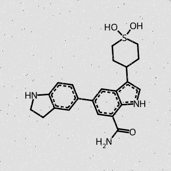 NC(=O)c1cc(-c2ccc3c(c2)CCN3)cc2c(C3CCS(O)(O)CC3)c[nH]c12